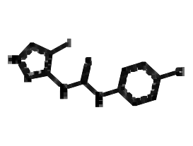 S=C(Nc1ccc(Cl)cc1)Nc1n[nH]cc1I